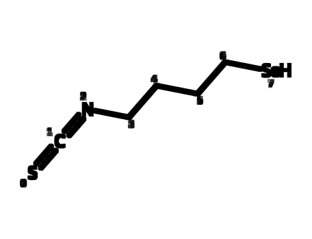 S=C=NCCCC[SeH]